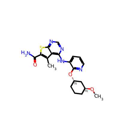 CO[C@H]1CCC[C@H](Oc2ncccc2Nc2ncnc3sc(C(N)=O)c(C)c23)C1